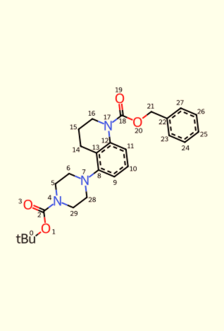 CC(C)(C)OC(=O)N1CCN(c2cccc3c2CCCN3C(=O)OCc2ccccc2)CC1